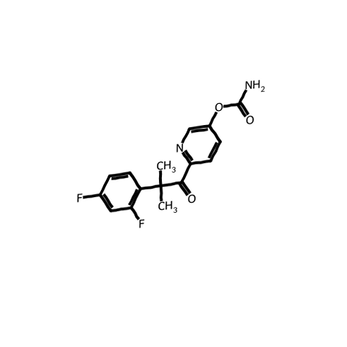 CC(C)(C(=O)c1ccc(OC(N)=O)cn1)c1ccc(F)cc1F